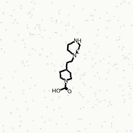 O=C(O)N1CCC(CCN2CCNCC2)CC1